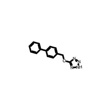 c1ccc(-c2ccc(COc3nn[nH]n3)cc2)cc1